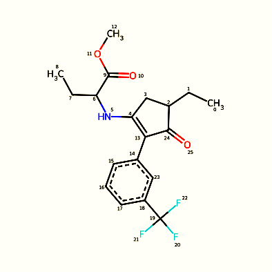 CCC1CC(NC(CC)C(=O)OC)=C(c2cccc(C(F)(F)F)c2)C1=O